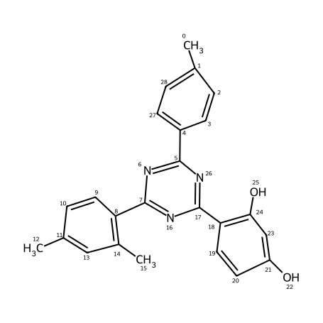 Cc1ccc(-c2nc(-c3ccc(C)cc3C)nc(-c3ccc(O)cc3O)n2)cc1